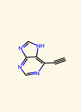 C#Cc1ncnc2nc[nH]c12